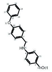 CCCCCCCCc1ccc(NCc2ccc(Oc3ccccc3)cc2)cc1